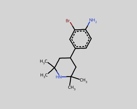 CC1(C)CC(c2ccc(N)c(Br)c2)CC(C)(C)N1